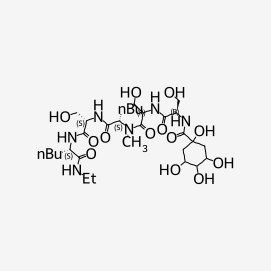 CCCC[C@H](NC(=O)[C@H](CO)NC(=O)[C@H](CCCC)N(C)C(=O)[C@@H](CO)NC(=O)[C@@H](CO)NC(=O)C1(O)CC(O)C(O)C(O)C1)C(=O)NCC